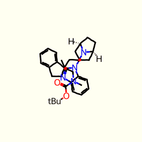 Cc1nc2ccccc2n1C1C[C@H]2CC[C@@H](C1)N2CCC1(CN(C)C(=O)OC(C)(C)C)CCc2ccccc21